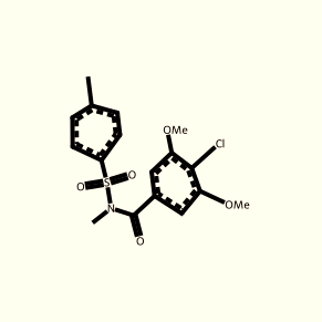 COc1cc(C(=O)N(C)S(=O)(=O)c2ccc(C)cc2)cc(OC)c1Cl